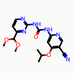 COC(OC)c1ccnc(NC(=O)Nc2cc(OC(C)C)c(C#N)cn2)n1